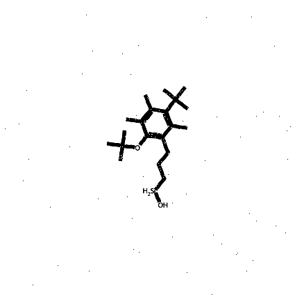 Cc1c(C)c(C(C)(C)C)c(C)c(CCC[SiH2]O)c1OC(C)(C)C